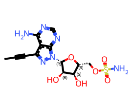 CC#Cc1nn([C@@H]2O[C@H](COS(N)(=O)=O)[C@@H](O)[C@H]2O)c2ncnc(N)c12